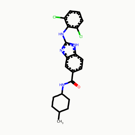 CC1CCC(NC(=O)c2ccc3[nH]c(Nc4c(Cl)cccc4Cl)nc3c2)CC1